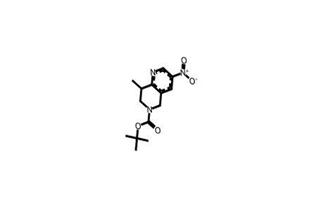 CC1CN(C(=O)OC(C)(C)C)Cc2cc([N+](=O)[O-])cnc21